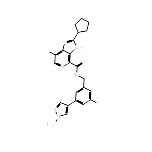 Cn1cc(-c2cc(F)cc(CNC(=O)c3ncc(F)c4nc(C5CCCC5)[nH]c34)c2)cn1